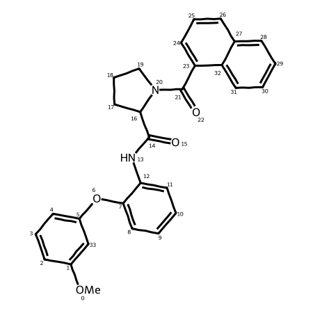 COc1cccc(Oc2ccccc2NC(=O)C2CCCN2C(=O)c2cccc3ccccc23)c1